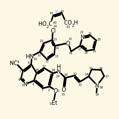 CCOc1cc2ncc(C#N)c(Nc3ccc(OCc4ccccn4)c(Cl)c3)c2cc1NC(=O)C=CC1CCCN1C.O=C(O)/C=C\C(=O)O